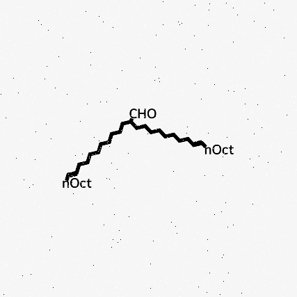 CCCCCCCCC=CCCCCCCCCCC(C=O)CCCCCCCCC=CCCCCCCCC